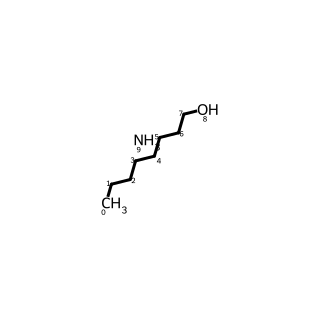 CCCCCCCCO.N